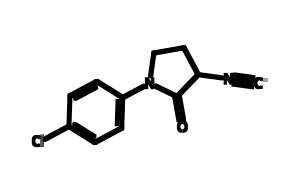 [C-]#[N+]C1CCN(c2ccc(Cl)cc2)C1=O